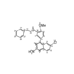 COc1ccc(-c2nc(N)nc3ccc(Cl)cc23)cc1OCCc1ccccc1